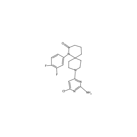 Nc1nc(Cl)cc(N2CCC3(CCCC(=O)N3c3ccc(F)c(F)c3)CC2)n1